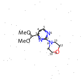 COC(OC)c1ccnc(N2CCOCC2)n1